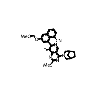 COCOc1cc(-c2ncc3c(N4CC5CCC(C5)C4)nc(SC)nc3c2F)c2c(C#N)cccc2c1